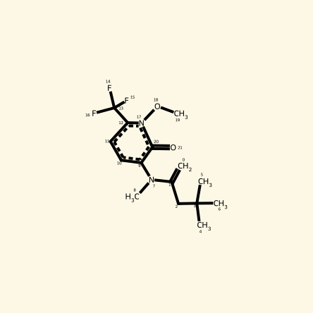 C=C(CC(C)(C)C)N(C)c1ccc(C(F)(F)F)n(OC)c1=O